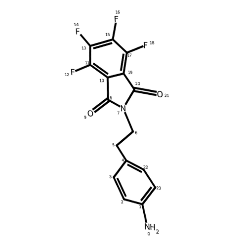 Nc1ccc(CCN2C(=O)c3c(F)c(F)c(F)c(F)c3C2=O)cc1